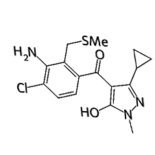 CSCc1c(C(=O)c2c(C3CC3)nn(C)c2O)ccc(Cl)c1N